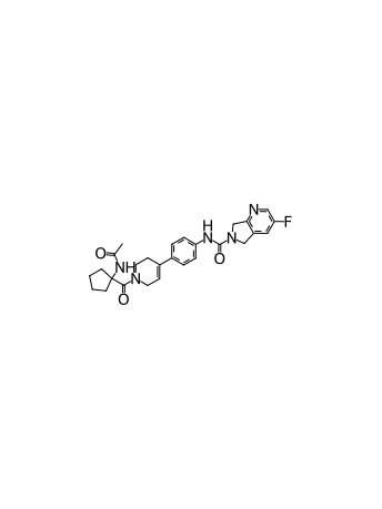 CC(=O)NC1(C(=O)N2CC=C(c3ccc(NC(=O)N4Cc5cc(F)cnc5C4)cc3)CC2)CCCC1